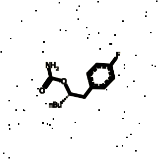 CCCC[C@@H](Cc1ccc(F)cc1)OC(N)=O